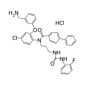 Cl.NCc1cccc(Oc2cc(Cl)ccc2N(CCCNC(=O)Nc2ccccc2F)C(=O)c2ccc(-c3ccccc3)cc2)c1